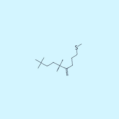 C=C(CCCSC)C(C)(C)CCC(C)(C)C